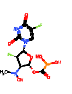 CN(O)[C@@H]1[C@@H](OC(=O)P(O)O)O[C@@H](n2cc(F)c(=O)[nH]c2=O)[C@H]1F